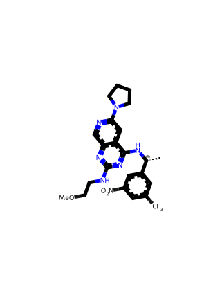 COCCNc1nc(N[C@H](C)c2cc([N+](=O)[O-])cc(C(F)(F)F)c2)c2cc(N3CCCC3)ncc2n1